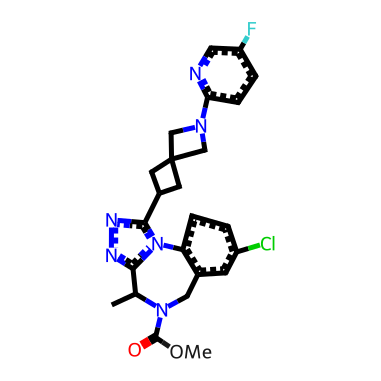 COC(=O)N1Cc2cc(Cl)ccc2-n2c(C3CC4(C3)CN(c3ccc(F)cn3)C4)nnc2C1C